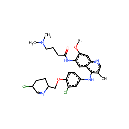 CCOc1cc2ncc(C#N)c(Nc3ccc(OCC4CCC(Cl)C=N4)c(Cl)c3)c2cc1NC(=O)CCCN(C)C